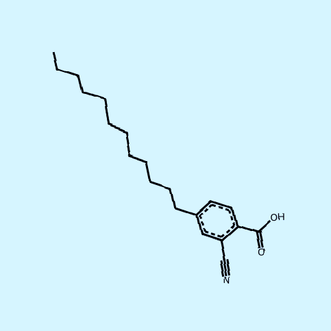 CCCCCCCCCCCCc1ccc(C(=O)O)c(C#N)c1